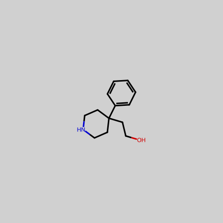 OCCC1(c2ccccc2)CCNCC1